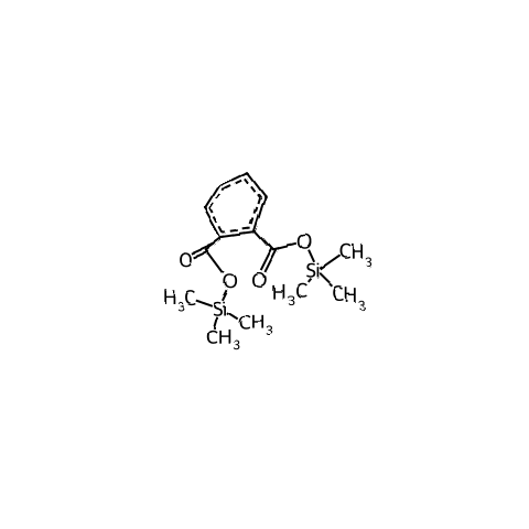 C[Si](C)(C)OC(=O)c1ccccc1C(=O)O[Si](C)(C)C